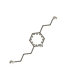 CC(C)CCCc1ccc(CCC(C)C)cn1